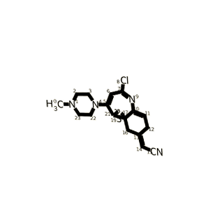 CN1CCN(C2=CC(Cl)=NC3=CCC(=CC#N)CC34CSC=C24)CC1